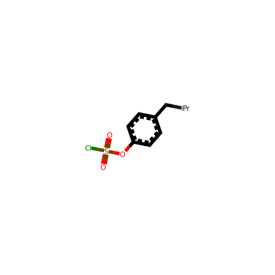 CC(C)Cc1ccc(OS(=O)(=O)Cl)cc1